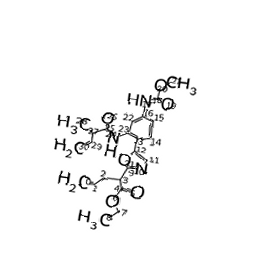 C=CCC(C(=O)OCC)c1ncc(-c2ccc(NC(=O)OC)cc2NC(=O)[C@H](C)C=C)o1